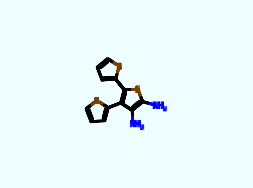 Nc1sc(-c2cccs2)c(-c2cccs2)c1N